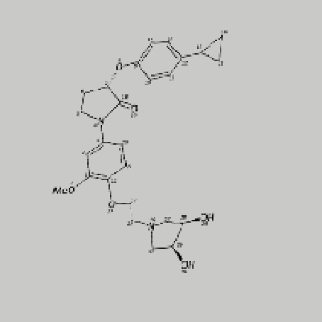 COc1cc(N2CC[C@H](Oc3ccc(C4CC4)cc3)C2=O)ccc1OCCN1C[C@@H](O)[C@@H](O)C1